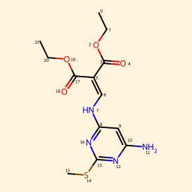 CCOC(=O)C(=CNc1cc(N)nc(SC)n1)C(=O)OCC